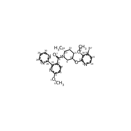 COc1ccc(C(=O)N2C[C@H](Oc3nccc(I)c3OC)CC[C@H]2C)c(-c2ncccn2)n1